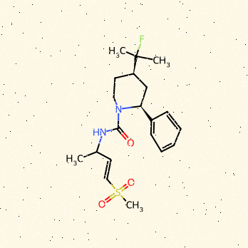 CC(/C=C/S(C)(=O)=O)NC(=O)N1CC[C@@H](C(C)(C)F)C[C@H]1c1ccccc1